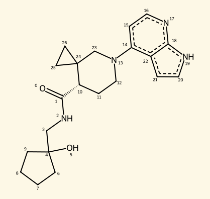 O=C(NCC1(O)CCCC1)[C@H]1CCN(c2ccnc3[nH]ccc23)CC12CC2